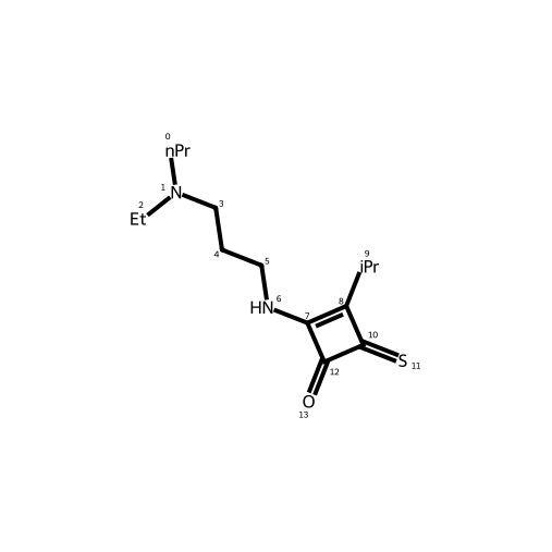 CCCN(CC)CCCNc1c(C(C)C)c(=S)c1=O